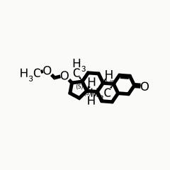 COCOC1CC[C@H]2[C@@H]3CCC4CC(=O)C=C[C@]4(C)[C@@H]3CC[C@]12C